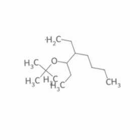 [CH2]CC(CCCC)C(CC)OC(C)(C)C